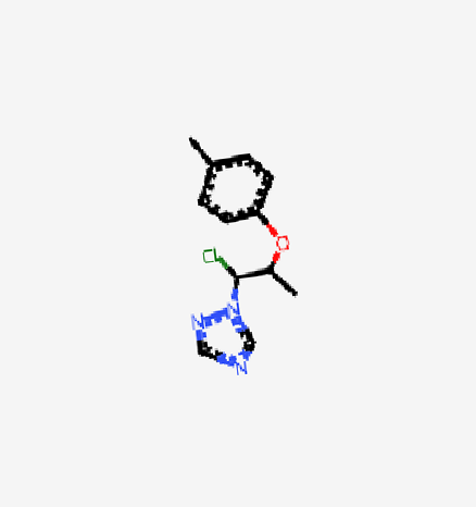 Cc1ccc(OC(C)C(Cl)n2cncn2)cc1